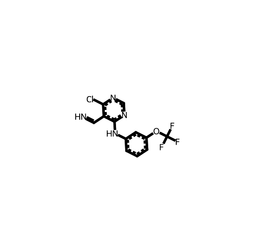 N=Cc1c(Cl)ncnc1Nc1cccc(OC(F)(F)F)c1